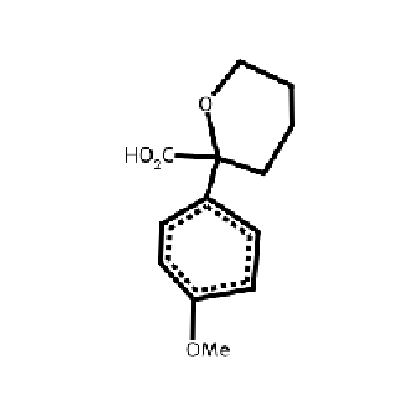 COc1ccc(C2(C(=O)O)CCCCO2)cc1